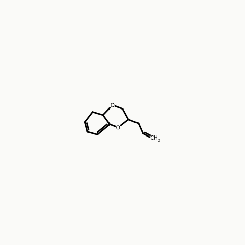 C=CCC1COC2CC=CC=C2O1